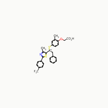 Cc1cc(S[C@@H](Cc2ccccc2)c2sc(-c3ccc(C(F)(F)F)cc3)nc2C)ccc1OCC(=O)O